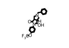 O=C1C2CN(Cc3ccccc3)C[C@@H]2C(O)N1c1ccc(OC(F)(F)F)cc1